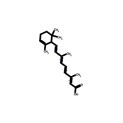 CC1=CCCC(C)(C)C1/C=C/C(C)=C/C=C/C(C)=C/C(=O)O